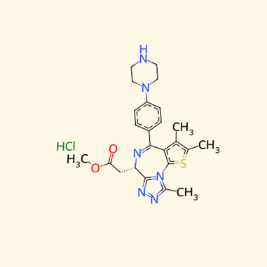 COC(=O)C[C@@H]1N=C(c2ccc(N3CCNCC3)cc2)c2c(sc(C)c2C)-n2c(C)nnc21.Cl